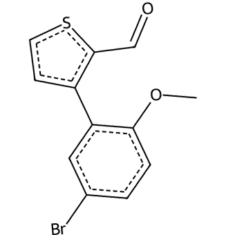 COc1ccc(Br)cc1-c1ccsc1C=O